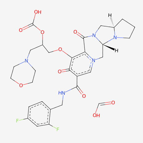 O=C(O)OC(COc1c2n(cc(C(=O)NCc3ccc(F)cc3F)c1=O)C[C@@H]1N(C[C@H]3CCCN31)C2=O)CN1CCOCC1.O=CO